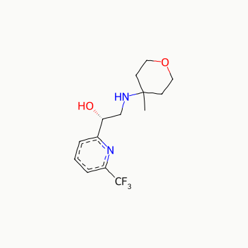 CC1(NC[C@@H](O)c2cccc(C(F)(F)F)n2)CCOCC1